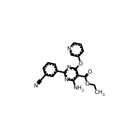 CCOC(=O)c1c(N)nc(-c2cccc(C#N)c2)nc1Oc1cccnc1